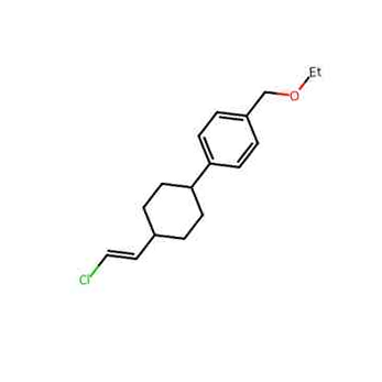 CCOCc1ccc(C2CCC(/C=C/Cl)CC2)cc1